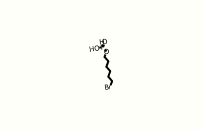 O=[PH](O)OCCCCCCBr